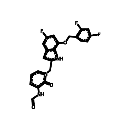 O=CNc1cccn(Cc2cc3cc(F)cc(OCc4ccc(F)cc4F)c3[nH]2)c1=O